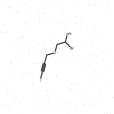 CCCC(Br)COCC#CI